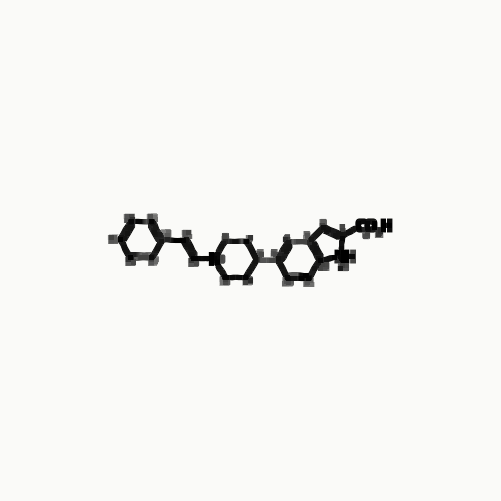 O=C(O)c1cc2cc(C3CCN(C=Cc4ccccc4)CC3)ccc2[nH]1